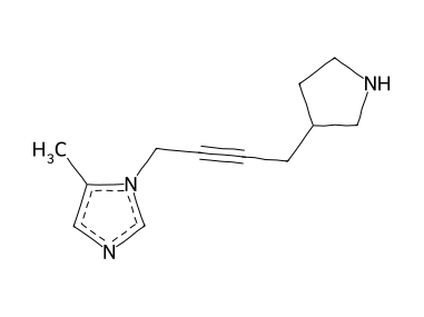 Cc1cncn1CC#CCC1CCNC1